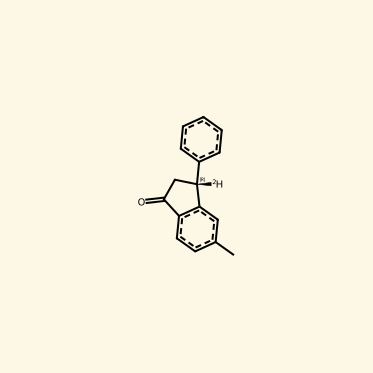 [2H][C@]1(c2ccccc2)CC(=O)c2ccc(C)cc21